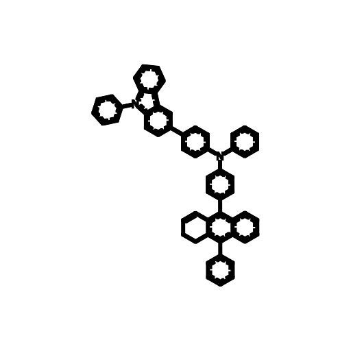 C1=Cc2c(c(-c3ccccc3)c3ccccc3c2-c2ccc(N(c3ccccc3)c3ccc(-c4ccc5c(c4)c4ccccc4n5-c4ccccc4)cc3)cc2)CC1